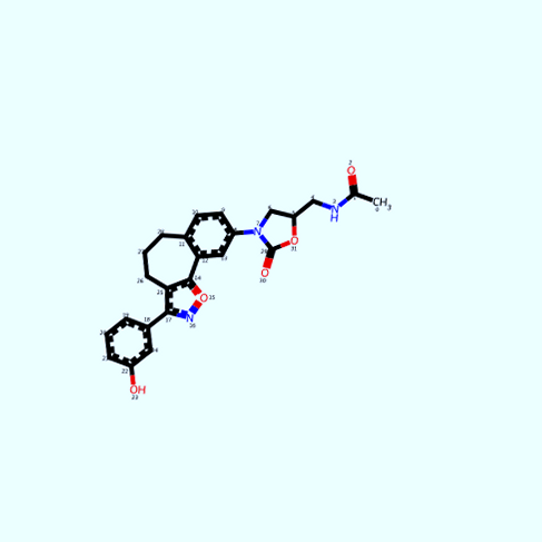 CC(=O)NCC1CN(c2ccc3c(c2)-c2onc(-c4cccc(O)c4)c2CCC3)C(=O)O1